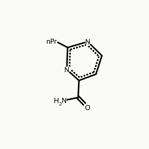 CCCc1nccc(C(N)=O)n1